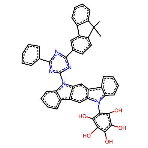 CC1(C)c2ccccc2-c2cc(-c3nc(-c4ccccc4)nc(-n4c5ccccc5c5cc6c(cc54)c4ccccc4n6-c4c(O)c(O)c(O)c(O)c4O)n3)ccc21